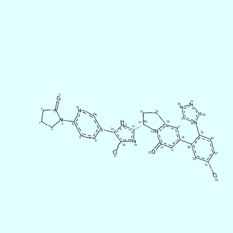 O=C1CCCN1c1ccc(-c2[nH]c([C@@H]3CCc4cc(-c5cc(Cl)ccc5-n5cnnn5)cc(=O)n43)nc2Cl)cn1